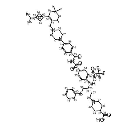 CC1(C)CCC(CN2CCN(c3ccc(C(=O)NS(=O)(=O)c4ccc(N[C@H](CCN5CCC(C(=O)O)CC5)CSc5ccccc5)c(S(=O)(=O)C(F)(F)F)c4)cc3)CC2)=C(C23CC(C(F)F)(C2)C3)C1